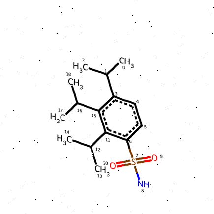 CC(C)c1ccc(S([NH])(=O)=O)c(C(C)C)c1C(C)C